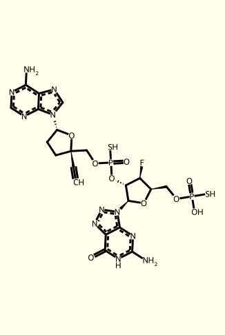 C#C[C@@]1(COP(=O)(S)O[C@@H]2[C@@H](F)[C@@H](COP(=O)(O)S)O[C@H]2n2nnc3c(=O)[nH]c(N)nc32)CC[C@H](n2cnc3c(N)ncnc32)O1